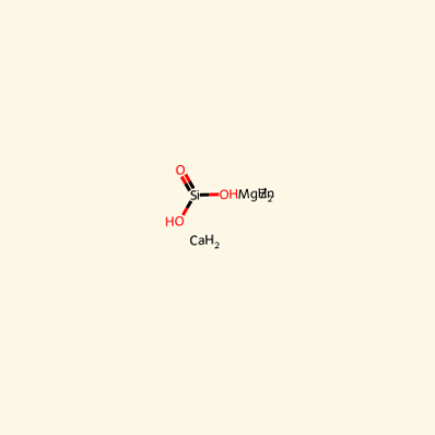 O=[Si](O)O.[CaH2].[MgH2].[Zn]